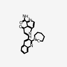 NC(=O)c1nccc2[nH]c(-c3cc4ccccc4nc3N3CCCCCC3)cc(=O)c12